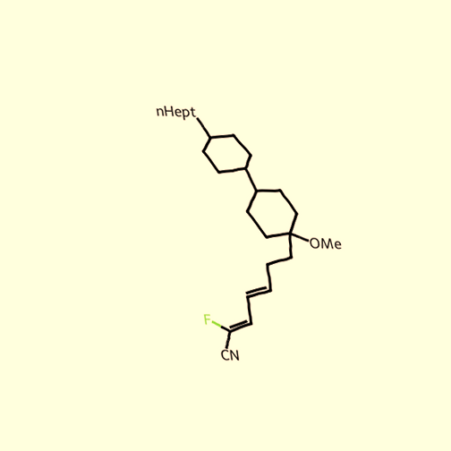 CCCCCCCC1CCC(C2CCC(CCC=CC=C(F)C#N)(OC)CC2)CC1